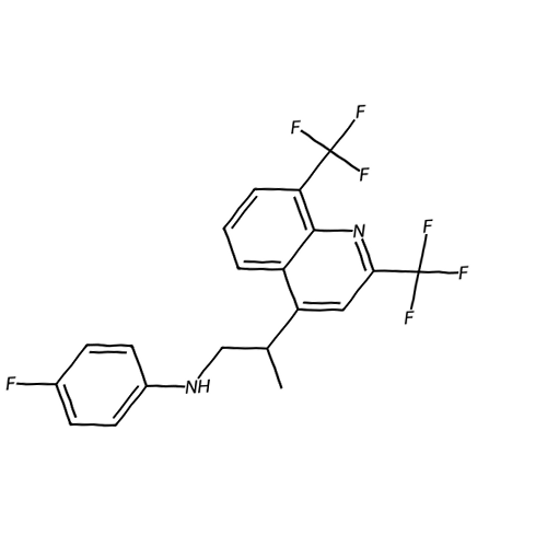 CC(CNc1ccc(F)cc1)c1cc(C(F)(F)F)nc2c(C(F)(F)F)cccc12